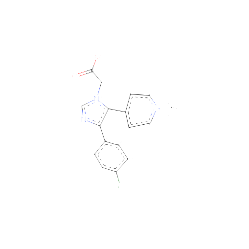 O=C([O-])Cn1cnc(-c2ccc(Cl)cc2)c1-c1ccncc1.[Na+]